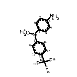 CN(c1ccc(N)cc1)c1ccc(C(F)(F)F)cc1